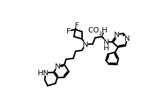 O=C(O)[C@H](CCN(CCCCc1ccc2c(n1)NCCC2)C1CC(F)(F)C1)Nc1ncncc1-c1ccccc1